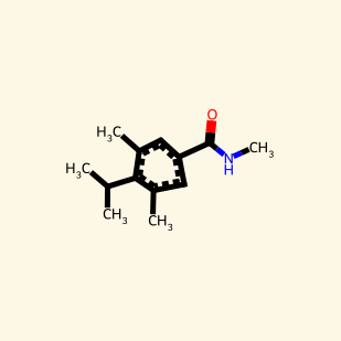 CNC(=O)c1cc(C)c(C(C)C)c(C)c1